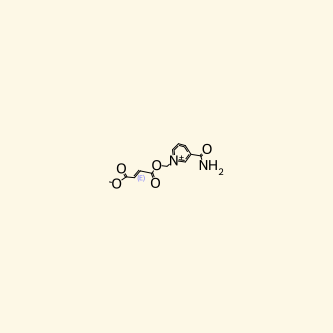 COC(=O)/C=C/C(=O)OC[n+]1cccc(C(N)=O)c1